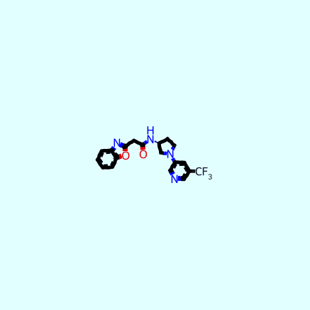 O=C(Cc1nc2ccccc2o1)N[C@@H]1CCN(c2cncc(C(F)(F)F)c2)C1